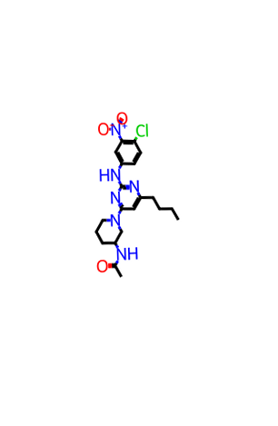 CCCCc1cc(N2CCCC(NC(C)=O)C2)nc(Nc2ccc(Cl)c([N+](=O)[O-])c2)n1